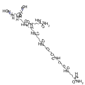 CN[C@@H](CCCCNC(=O)COCCOCCNC(=O)COCCOCCNC(=O)CCCC(=O)NCCCC[C@H](NC(=O)CCCC(=O)NC(CNC(C)(C)/C=N/O)CNC(C)(C)/C=N/O)C(=O)NCCCC[C@H](NC)C(N)=O)C(N)=O